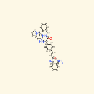 CN1CCCC1CCNC(C(=O)NCc1ccccc1)c1ccc(C=CC(=O)Nc2ccccc2N)cc1